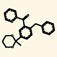 CC1(c2ccc(Cc3ccccc3)c(C(=O)c3ccccn3)c2)OCCCO1